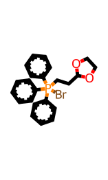 BrP(CCC1OCCO1)(c1ccccc1)(c1ccccc1)c1ccccc1